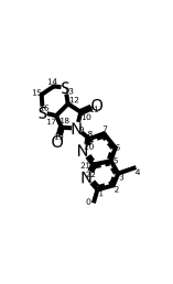 Cc1cc(C)c2ccc(N3C(=O)C4SCCSC4C3=O)nc2n1